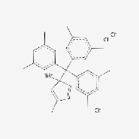 CC1=C[C]([Ti+3])(C(c2cc(C)cc(C)c2)(c2cc(C)cc(C)c2)c2cc(C)cc(C)c2)C=C1.[Cl-].[Cl-].[Cl-]